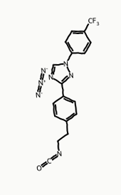 O=C=NCCc1ccc(-c2ncn(-c3ccc(C(F)(F)F)cc3)n2)cc1.[N-]=[N+]=[N-]